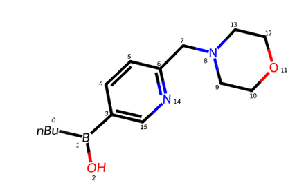 CCCCB(O)c1ccc(CN2CCOCC2)nc1